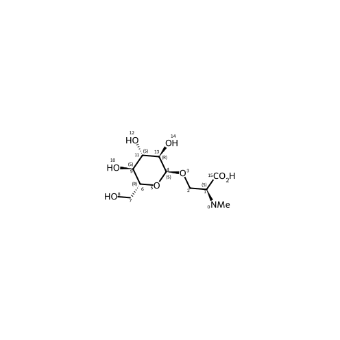 CN[C@@H](CO[C@H]1O[C@H](CO)[C@@H](O)[C@H](O)[C@H]1O)C(=O)O